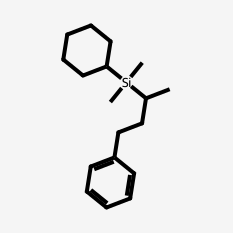 CC(CCc1ccccc1)[Si](C)(C)C1CCCCC1